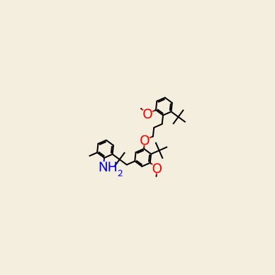 COc1cccc(C(C)(C)C)c1CCCOc1cc(CC(C)(C)c2cccc(C)c2N)cc(OC)c1C(C)(C)C